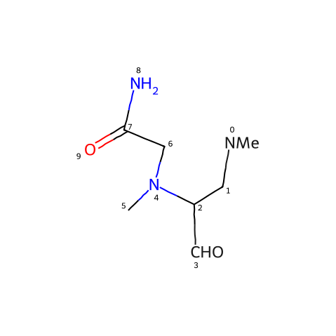 CNCC(C=O)N(C)CC(N)=O